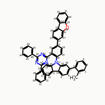 Cc1ccccc1-c1ccc2c3ccccc3n(-c3ccc(-c4ccc5c(c4)oc4ccccc45)cc3-c3nc(-c4ccccc4)nc(-c4ccccc4)n3)c2c1